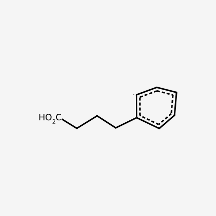 O=C(O)CCCc1[c]cccc1